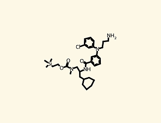 CN(CC(CC1CCCCC1)NC(=O)c1cccc(N(CCCN)c2cccc(Cl)c2)c1)C(=O)OCC[Si](C)(C)C